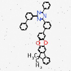 CC1(C)c2ccccc2-c2cc3c(cc21)Oc1ccc(-c2cccc(-c4nc(-c5ccccc5)nc(-c5cccc(-c6ccccc6)c5)n4)c2)cc1O3